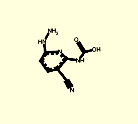 N#Cc1ccc(NN)nc1NC(=O)O